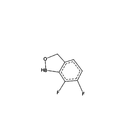 Fc1ccc2c(c1F)BOC2